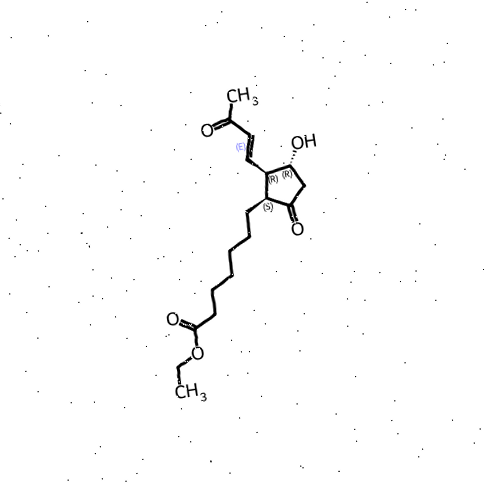 CCOC(=O)CCCCCC[C@@H]1C(=O)C[C@@H](O)[C@@H]1/C=C/C(C)=O